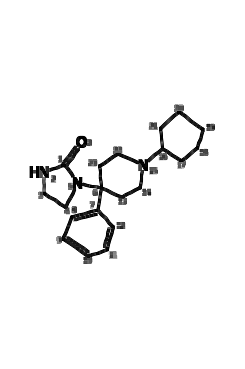 O=C1NCCN1C1(c2ccccc2)CCN(C2CCCCC2)CC1